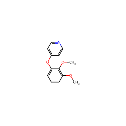 COc1cccc(Oc2c[c]ncc2)c1OC